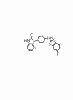 O=c1[nH]c2cccnc2n1C1CCC(Nc2nc3cc(F)ccc3s2)CC1